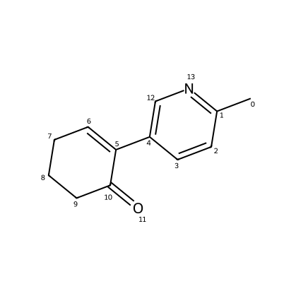 Cc1ccc(C2=CCCCC2=O)cn1